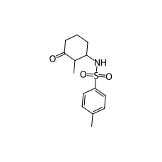 Cc1ccc(S(=O)(=O)NC2CCCC(=O)C2C)cc1